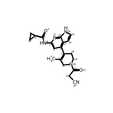 CC1=C(c2cc(NC(=O)C3CC3)nc3[nH]ccc23)CCN(C(=O)CC#N)C1